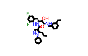 CCCc1c(C(=O)N[C@@H](Cc2cc(F)cc(F)c2)[C@@H](O)CNCc2cccc(CC)c2)cnn1-c1ccccc1